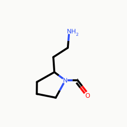 NCCC1CCCN1[C]=O